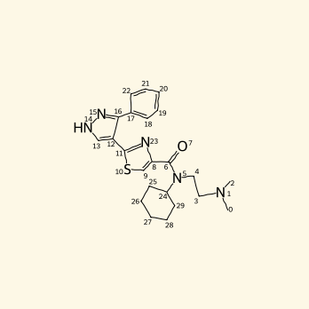 CN(C)CCN(C(=O)c1csc(-c2c[nH]nc2-c2ccccc2)n1)C1CCCCC1